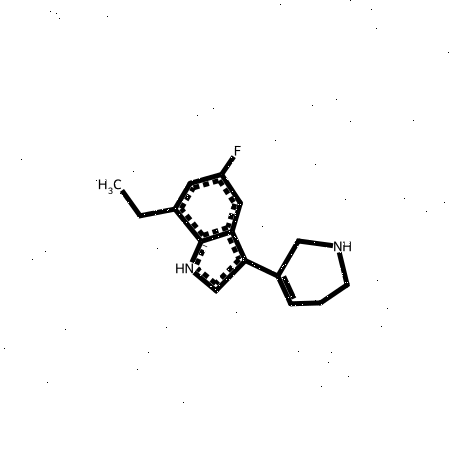 CCc1cc(F)cc2c(C3=CCCNC3)c[nH]c12